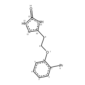 CC(C)c1ccccc1OCCc1n[nH]c(=O)[nH]1